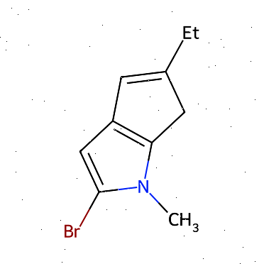 CCC1=Cc2cc(Br)n(C)c2C1